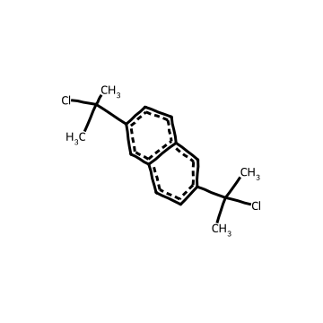 CC(C)(Cl)c1ccc2cc(C(C)(C)Cl)ccc2c1